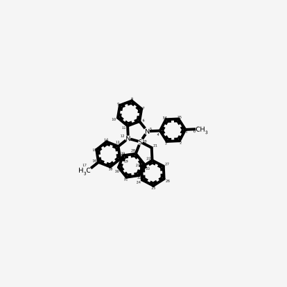 Cc1ccc(N2c3ccccc3N(c3ccc(C)cc3)S2(Cc2ccccc2)c2ccccc2)cc1